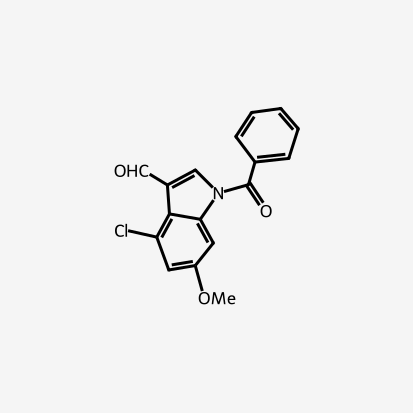 COc1cc(Cl)c2c(C=O)cn(C(=O)c3ccccc3)c2c1